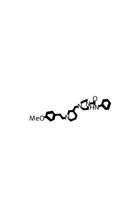 COc1ccc(CCN2CCCC(CN3CCN(C(=O)Nc4ccccc4)CC3)C2)cc1